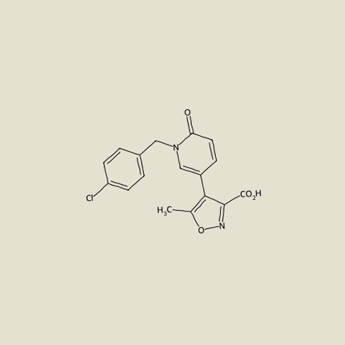 Cc1onc(C(=O)O)c1-c1ccc(=O)n(Cc2ccc(Cl)cc2)c1